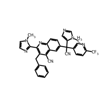 Cn1cncc1C(C#N)(c1ccc(C(F)(F)F)nc1)c1ccc2nc(-c3nccn3C)c(Cc3ccccc3)c(C#N)c2c1